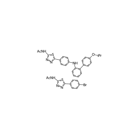 CC(=O)Nc1nnc(-c2ccc(Br)cc2)s1.CC(=O)Nc1nnc(-c2ccc(Nc3ccccc3-c3ccc(OC(C)C)cc3)cc2)s1